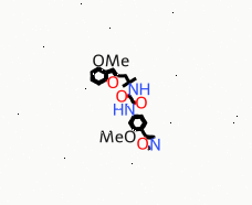 COc1cc(NC(=O)C(=O)NC(C)(C)Cc2cc3c(OC)cccc3o2)ccc1-c1cnco1